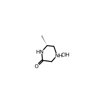 C[C@@H]1CNCC(=O)N1.Cl